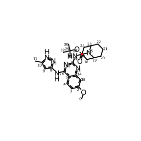 COc1ccc2c(Nc3cc(C)[nH]n3)nc(NC3CC4CCCC(C3)N4C(=O)OC(C)(C)C)nc2c1